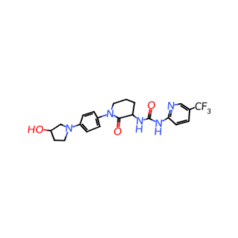 O=C(Nc1ccc(C(F)(F)F)cn1)NC1CCCN(c2ccc(N3CCC(O)C3)cc2)C1=O